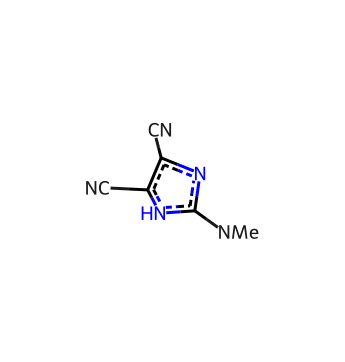 CNc1nc(C#N)c(C#N)[nH]1